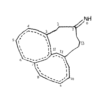 N=C1Cc2cccc3cccc(c23)C1